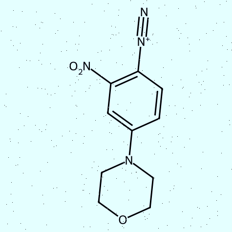 N#[N+]c1ccc(N2CCOCC2)cc1[N+](=O)[O-]